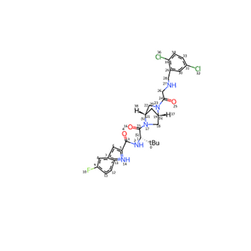 CC(C)(C)[C@H](NC(=O)c1cc2cc(F)ccc2[nH]1)C(=O)N1C[C@@H]2C[C@H]1CN2C(=O)CNCc1cc(Cl)ccc1Cl